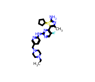 CCN1CCN(Cc2ccc(Nc3ncc(F)c(C4=C(C)N=C(N)[SH]4C4CCCC4)n3)nc2)CC1